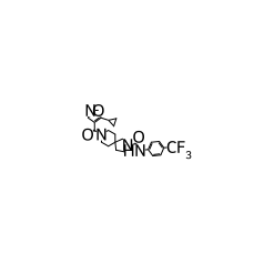 O=C(Nc1ccc(C(F)(F)F)cc1)N1CCC2(CCN(C(=O)c3cnoc3C3CC3)CC2)C1